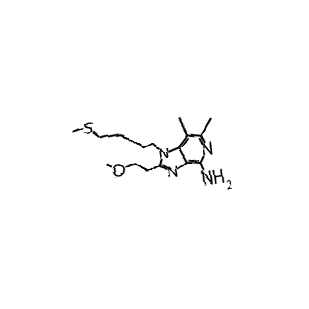 COCCc1nc2c(N)nc(C)c(C)c2n1CCCCSC